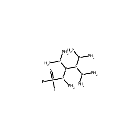 FP(=S)(I)P(P)P(P(P)P)P(P(P)P)P(P)P